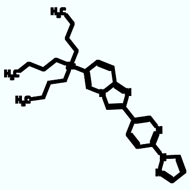 CCC[CH2][Sn]([CH2]CCC)([CH2]CCC)[c]1ccc2nc(-c3ccc(-n4cccn4)nc3)cn2c1